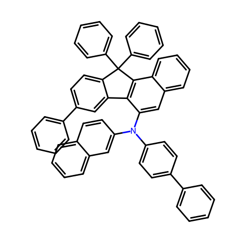 c1ccc(-c2ccc(N(c3ccc4ccccc4c3)c3cc4ccccc4c4c3-c3cc(-c5ccccc5)ccc3C4(c3ccccc3)c3ccccc3)cc2)cc1